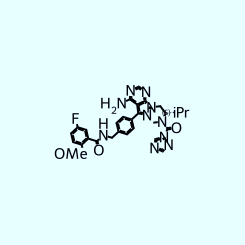 COc1ccc(F)cc1C(=O)NCc1ccc(-c2nn(C[C@H](C(C)C)N(C)C(=O)n3cncn3)c3ncnc(N)c23)cc1